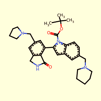 CC(C)(C)OC(=O)n1c(-c2cc(CN3CCCC3)cc3c2C(=O)NC3)cc2cc(CN3CCCCC3)ccc21